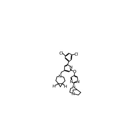 Clc1cc(Cl)cc(-c2cc(CN3CC[C@@H]4C[C@@H]4CC3)cc(Oc3cnc(N4CCN5CCC4C5)nc3)n2)c1